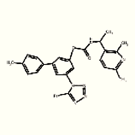 CCc1nnnn1-c1cc(OC(=O)NC(C)c2ccc(C)nc2C)cc(-c2ccc(C)cc2)c1